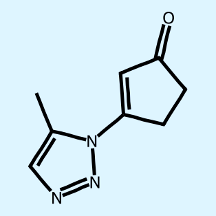 Cc1cnnn1C1=CC(=O)CC1